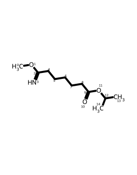 COC(=N)CCCCCC(=O)OC(C)C